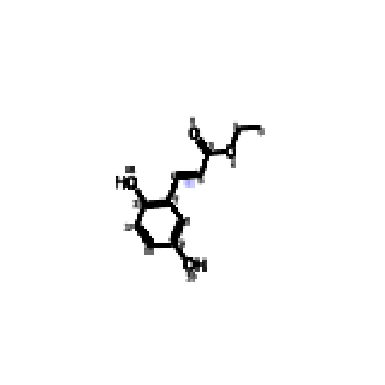 CCOC(=O)/C=C/c1cc(O)ccc1O